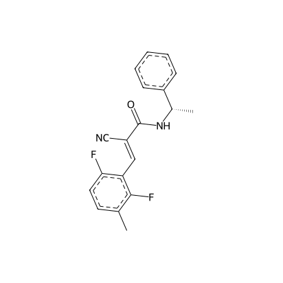 Cc1ccc(F)c(/C=C(\C#N)C(=O)N[C@@H](C)c2ccccc2)c1F